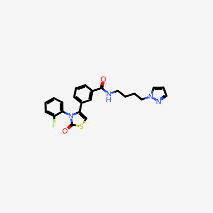 O=C(NCCCCn1cccn1)c1cccc(-c2csc(=O)n2-c2ccccc2F)c1